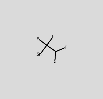 FC(F)[C](F)(F)[Sn]